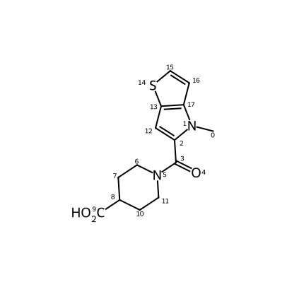 Cn1c(C(=O)N2CCC(C(=O)O)CC2)cc2sccc21